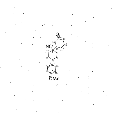 COc1ccc(C2CCC(C#N)(C3CCCC(=O)C3)CC2)cc1